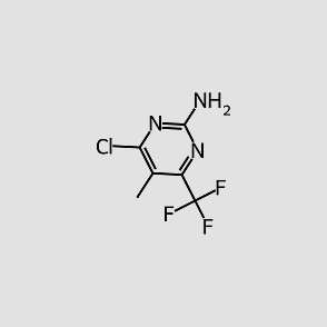 Cc1c(Cl)nc(N)nc1C(F)(F)F